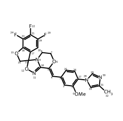 COc1cc(/C=C2\OCCN3C2=NOC32COc3c2cc(F)c(F)c3F)ccc1-n1cnc(C)c1